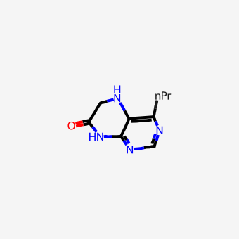 CCCc1ncnc2c1NCC(=O)N2